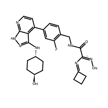 O=C(NCc1ccc(-c2ccnc3[nH]nc(N[C@H]4CC[C@H](O)CC4)c23)cc1F)/C(N=C1CCC1)=N/O